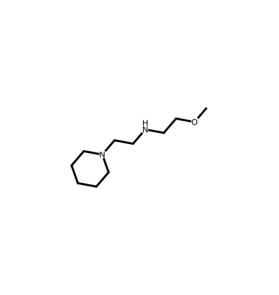 COCCNCCN1CCCCC1